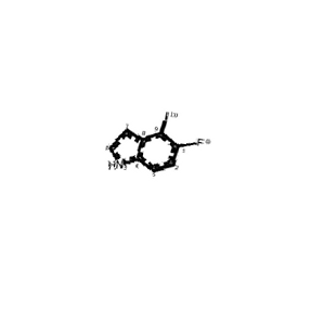 Fc1ccc2[nH]ccc2c1I